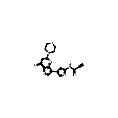 C#CC(=O)Nc1cc(-c2csc3c(=O)cc(N4CCOCC4)oc23)co1